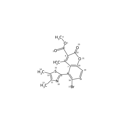 COC(=O)c1c(C)c2c(-c3nc(C)c(C)s3)c(Br)ccc2oc1=O